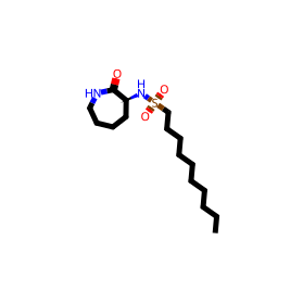 CCCCCCCCCCS(=O)(=O)N[C@H]1CCCCNC1=O